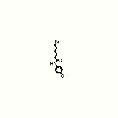 O=C(CCCCCBr)Nc1ccc(O)cc1